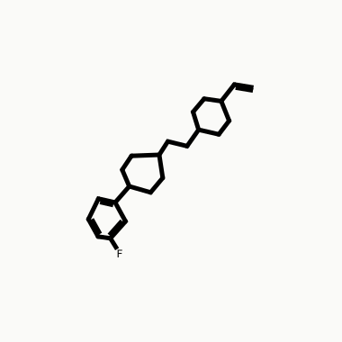 C=CC1CCC(CCC2CCC(c3cccc(F)c3)CC2)CC1